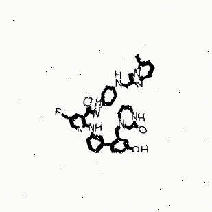 Cc1cccc2nc(CN[C@H]3CC[C@@H](NC(=O)c4cc(F)cnc4Nc4cccc(-c5ccc(O)cc5CN5CCCNC(=O)C5)c4)CC3)cn12